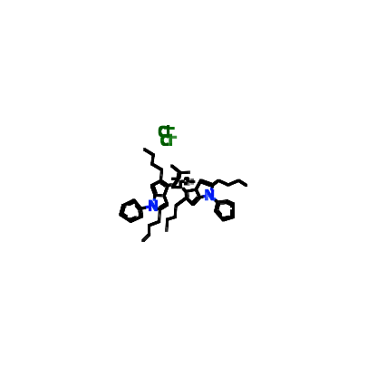 CCCCC1=CC2C(=CC(CCCC)=[C]2[Zr+2]([C]2=C(CCCC)C=C3C2C=C(CCCC)N3c2ccccc2)=[C](C)C)N1c1ccccc1.[Cl-].[Cl-]